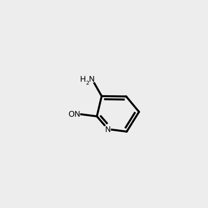 Nc1cccnc1N=O